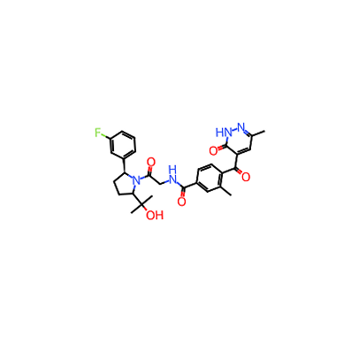 Cc1cc(C(=O)c2ccc(C(=O)NCC(=O)N3C(C(C)(C)O)CC[C@H]3c3cccc(F)c3)cc2C)c(=O)[nH]n1